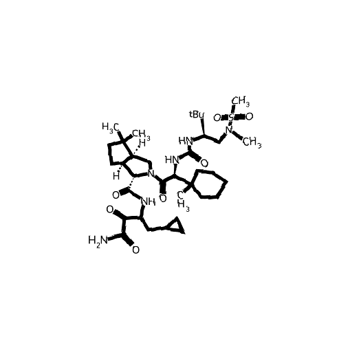 CN(C[C@@H](NC(=O)N[C@H](C(=O)N1C[C@H]2[C@H](CCC2(C)C)[C@H]1C(=O)NC(CC1CC1)C(=O)C(N)=O)C1(C)CCCCC1)C(C)(C)C)S(C)(=O)=O